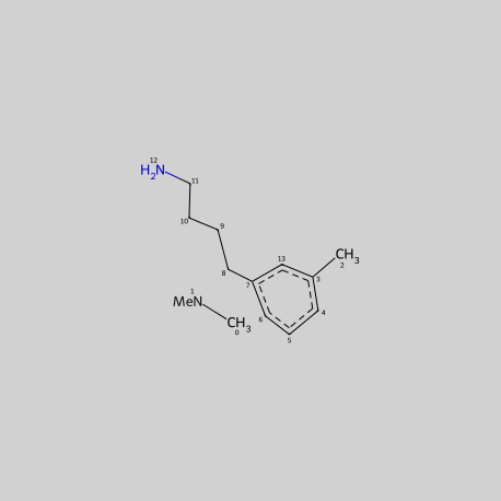 CNC.Cc1cccc(CCCCN)c1